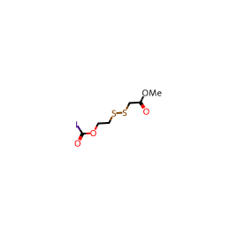 COC(=O)CSSCCOC(=O)I